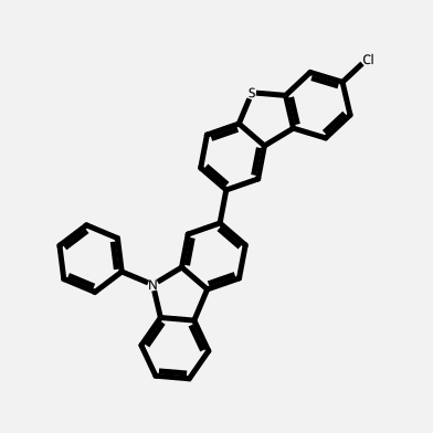 Clc1ccc2c(c1)sc1ccc(-c3ccc4c5ccccc5n(-c5ccccc5)c4c3)cc12